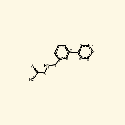 O=C(O)CNCc1cccc(-c2c[c]cnc2)c1